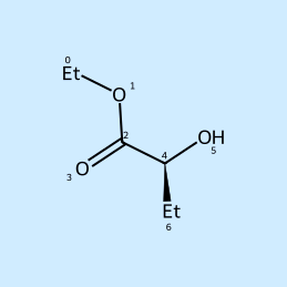 CCOC(=O)[C@@H](O)CC